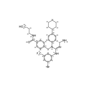 NC/N=C(/Nc1cc(Br)cc(C(F)(F)F)c1)N(Cc1ccc(C(=O)NCCC(=O)O)cc1)c1ccc(C2CCCCC2)cc1